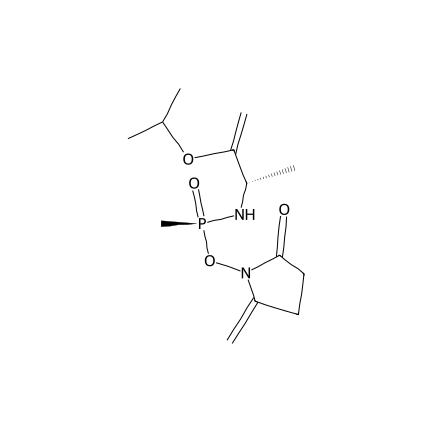 C=C(OC(C)C)[C@H](C)N[P@@](C)(=O)ON1C(=C)CCC1=O